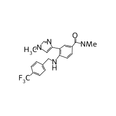 CNC(=O)c1ccc(NCc2ccc(C(F)(F)F)cc2)c(-c2cn(C)cn2)c1